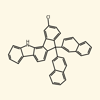 Clc1ccc2c(c1)-c1c(ccc3c1[nH]c1ccccc13)C2(c1ccc2ccccc2c1)c1ccc2ccccc2c1